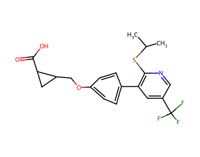 CC(C)Sc1ncc(C(F)(F)F)cc1-c1ccc(OCC2CC2C(=O)O)cc1